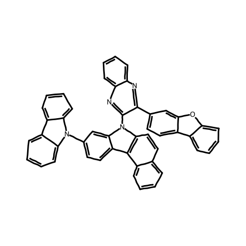 c1ccc2c(c1)ccc1c2c2ccc(-n3c4ccccc4c4ccccc43)cc2n1-c1nc2ccccc2nc1-c1ccc2c(c1)oc1ccccc12